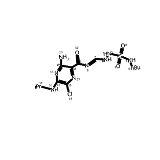 CCCCNS(=O)(=O)NNC=NC(=O)c1nc(Cl)c(NC(C)C)nc1N